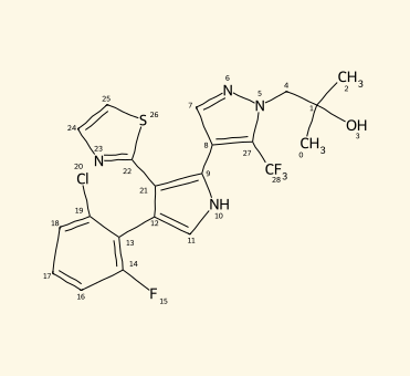 CC(C)(O)Cn1ncc(-c2[nH]cc(-c3c(F)cccc3Cl)c2-c2nccs2)c1C(F)(F)F